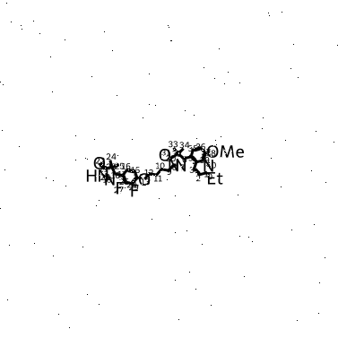 CCc1ccc2c(C3=NN(CCCCOc4ccc(C5=NNC(=O)C5(C)C)c(F)c4F)C(=O)C3(C)C)ccc(OC)c2n1